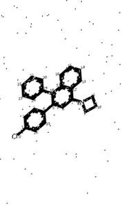 Clc1ccc(-c2cc(N3CCC3)c3ccccc3c2-c2ccccc2)cc1